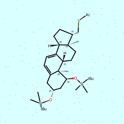 CC(=O)SC[C@H]1CC[C@H]2C3=CC=C4C[C@@H](O[Si](C)(C)C(C)(C)C)C[C@H](O[Si](C)(C)C(C)(C)C)[C@]4(C)[C@H]3CC[C@]12C